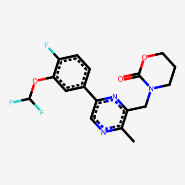 Cc1ncc(-c2ccc(F)c(OC(F)F)c2)nc1CN1CCCOC1=O